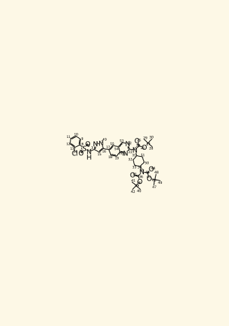 Cn1nc(NS(=O)(=O)c2ccccc2Cl)cc1-c1ccc2nc(N(C(=O)OC(C)(C)C)C3CCC(N(C(=O)OC(C)(C)C)C(=O)OC(C)(C)C)CC3)ncc2c1